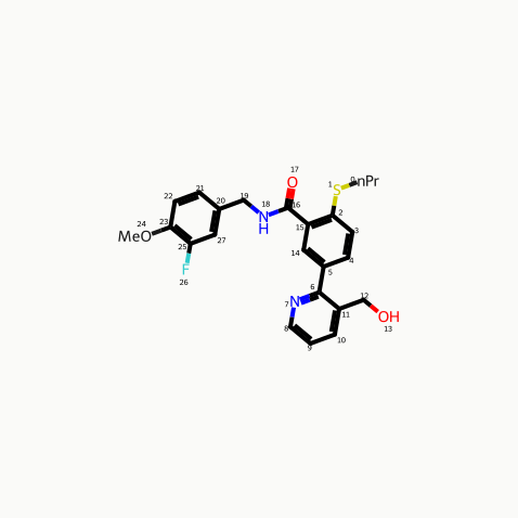 CCCSc1ccc(-c2ncccc2CO)cc1C(=O)NCc1ccc(OC)c(F)c1